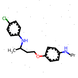 CC(C)Nc1ccc(OCCC(C)Nc2ccc(Cl)cc2)cc1